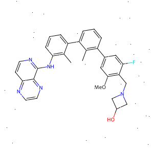 COc1cc(-c2cccc(-c3cccc(Nc4nccc5nccnc45)c3C)c2C)cc(F)c1CN1CC(O)C1